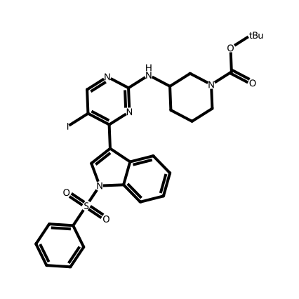 CC(C)(C)OC(=O)N1CCCC(Nc2ncc(I)c(-c3cn(S(=O)(=O)c4ccccc4)c4ccccc34)n2)C1